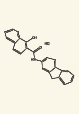 Cl.O=C(Nc1ccc2c(c1)Cc1ccccc1-2)c1ccc2cccnc2c1O